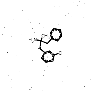 CC(N)([CH]c1cccc(Cl)c1)Cc1ccccc1